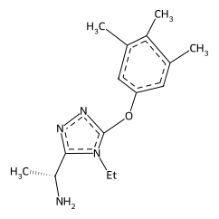 CCn1c(Oc2cc(C)c(C)c(C)c2)nnc1[C@@H](C)N